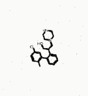 Cc1ccc(Cl)cc1-c1ccccc1C(CO)CN1CCNCC1